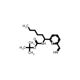 CCCCCC(NC(=O)OC(C)(C)C)c1cccc(C=N)n1